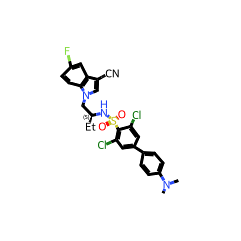 CC[C@@H](Cn1cc(C#N)c2cc(F)ccc21)NS(=O)(=O)c1c(Cl)cc(-c2ccc(N(C)C)cc2)cc1Cl